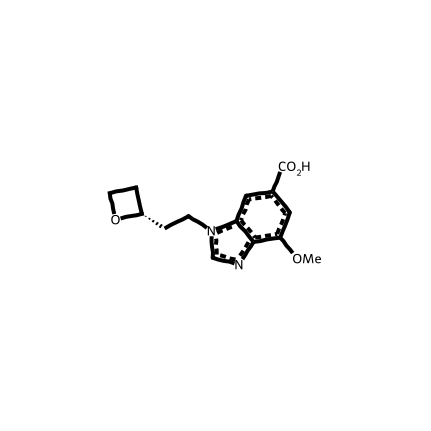 COc1cc(C(=O)O)cc2c1ncn2CC[C@H]1CCO1